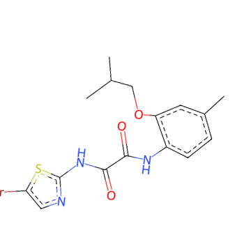 Cc1ccc(NC(=O)C(=O)Nc2ncc(Br)s2)c(OCC(C)C)c1